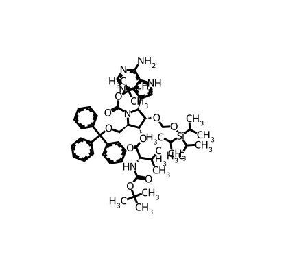 CC(C)[C@H](NC(=O)OC(C)(C)C)C(=O)O[C@H]1[C@@H](OCO[Si](C(C)C)(C(C)C)C(C)C)[C@H](c2c[nH]c3c(N)ncnc23)N(C(=O)OC(C)(C)C)[C@@H]1COC(c1ccccc1)(c1ccccc1)c1ccccc1